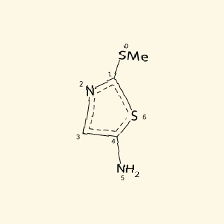 CSc1ncc(N)s1